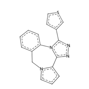 c1ccc2c(c1)Cn1cccc1-c1nnc(-c3ccsc3)n1-2